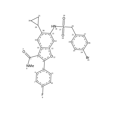 CNC(=O)c1c(-c2ccc(F)cc2)oc2cc(NS(=O)(=O)Cc3ccc(Br)cc3)c(C3CC3)cc12